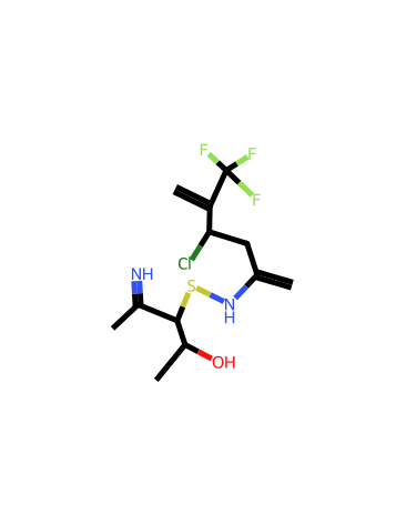 C=C(CC(Cl)C(=C)C(F)(F)F)NSC(C(C)=N)C(C)O